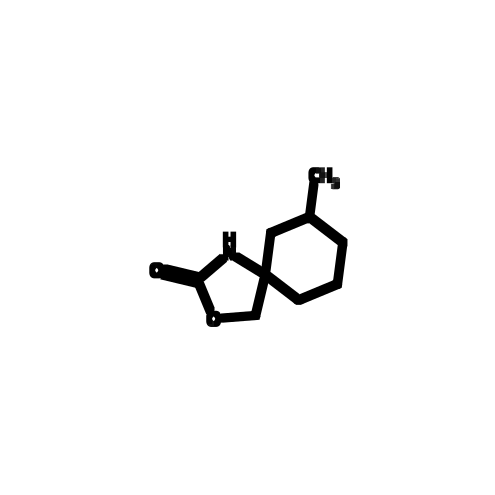 C[C]1CCCC2(COC(=O)N2)C1